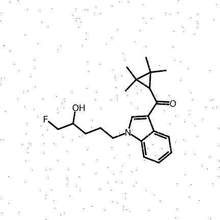 CC1(C)C(C(=O)c2cn(CCCC(O)CF)c3ccccc23)C1(C)C